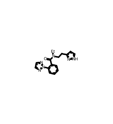 CCN(CCc1cc[nH]n1)C(=O)c1ccccc1-n1nccn1